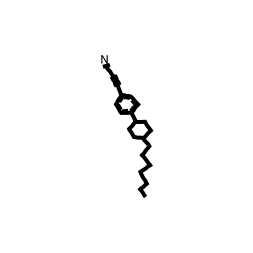 CCCCCCCC1CCC(c2ccc(C#CC#N)cc2)CC1